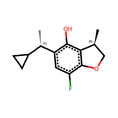 C[C@H](c1cc(F)c2c(c1O)[C@@H](C)CO2)C1CC1